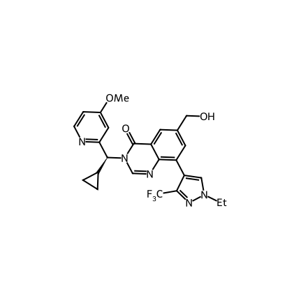 CCn1cc(-c2cc(CO)cc3c(=O)n([C@H](c4cc(OC)ccn4)C4CC4)cnc23)c(C(F)(F)F)n1